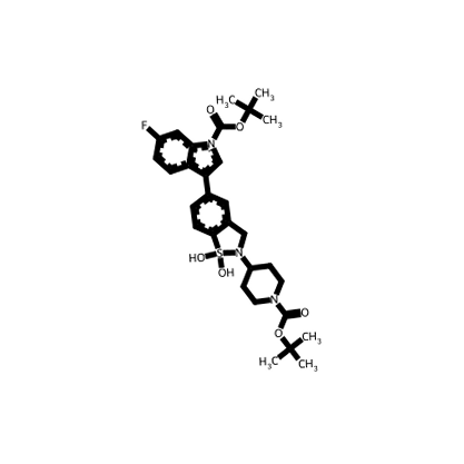 CC(C)(C)OC(=O)N1CCC(N2Cc3cc(-c4cn(C(=O)OC(C)(C)C)c5cc(F)ccc45)ccc3S2(O)O)CC1